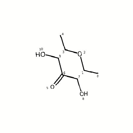 CCOCC.O=C(CO)CO